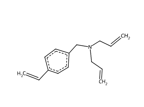 C=CCN(CC=C)Cc1ccc(C=C)cc1